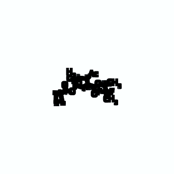 CC(=O)C1C2OC(C(OC(=O)C3CCC3)C2C)C1C(=O)OC(C)C(C)(F)F